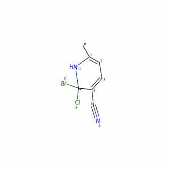 CC1=CC=C(C#N)C(Cl)(Br)N1